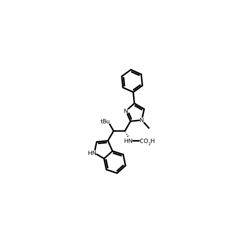 Cn1cc(-c2ccccc2)nc1[C@H](NC(=O)O)C(c1c[nH]c2ccccc12)C(C)(C)C